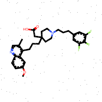 COc1ccc2ncc(C)c(CCCC3(CC(=O)O)CCN(CCCc4cc(F)c(F)c(F)c4)CC3)c2c1